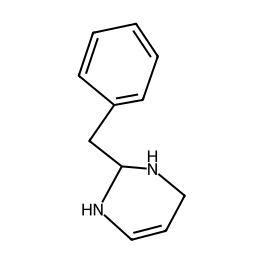 C1=CNC(Cc2ccccc2)NC1